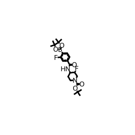 CC(C)(C)OC(=O)N1CCC(NC(=O)c2ccc(B3OC(C)(C)C(C)(C)O3)c(F)c2)C(F)C1